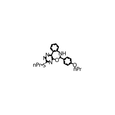 CCCOc1ccc(C2Nc3ccccc3-c3nnc(SCCC)nc3O2)cc1